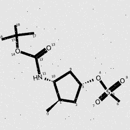 C[C@@H]1C[C@@H](OS(C)(=O)=O)C[C@H]1NC(=O)OC(C)(C)C